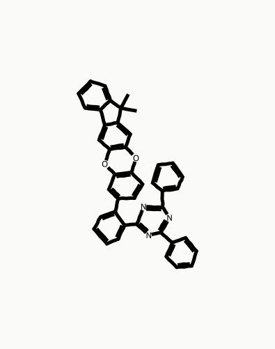 CC1(C)c2ccccc2-c2cc3c(cc21)Oc1ccc(-c2ccccc2-c2nc(-c4ccccc4)nc(-c4ccccc4)n2)cc1O3